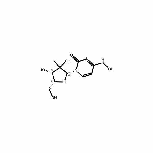 CC1(O)[C@@H](O)[C@@H](CO)O[C@H]1n1ccc(NO)nc1=O